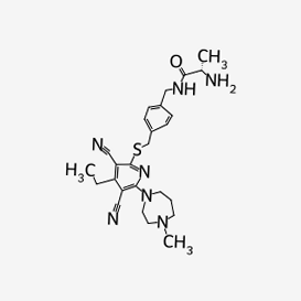 CCc1c(C#N)c(SCc2ccc(CNC(=O)[C@H](C)N)cc2)nc(N2CCCN(C)CC2)c1C#N